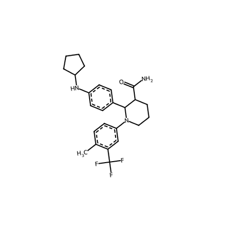 Cc1ccc(N2CCCC(C(N)=O)C2c2ccc(NC3CCCC3)cc2)cc1C(F)(F)F